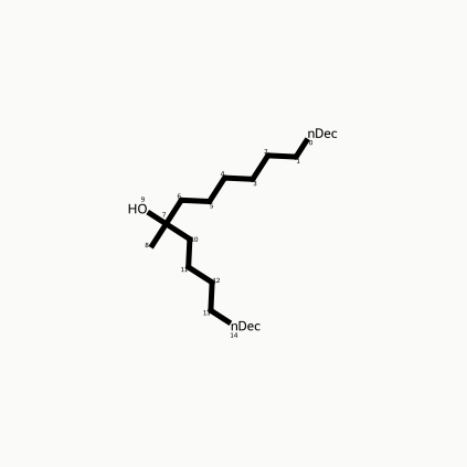 CCCCCCCCCCCCCCCCC(C)(O)CCCCCCCCCCCCCC